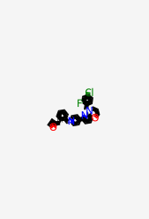 Fc1cc(Cl)ccc1CN1CCCOc2ccc(C3=CCN(CC4C=CC=C[C@@H]4CC4CCO4)CC3)nc21